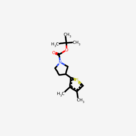 Cc1csc(C2CCN(C(=O)OC(C)(C)C)C2)c1C